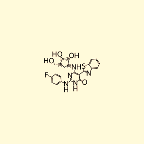 O=c1[nH]c(Nc2ccc(F)cc2)nc(N[C@@H]2C[C@H](CO)[C@@H](O)[C@H]2O)c1-c1nc2ccccc2s1